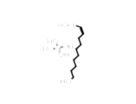 CCCCCCCC/C=C\CCCCCCCCO.O[Si](O)(O)O